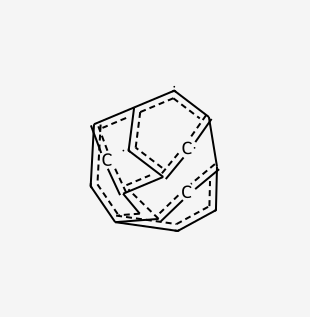 [c]1c2[c]c3[c]c1c1cc4ccc-2cc4c3c1